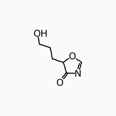 O=C1N=COC1CCCO